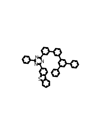 c1ccc(-c2cc(-c3ccccc3)cc(-c3cccc(-c4cccc(-c5nc(-c6ccccc6)nc(-c6ccc7c(c6)sc6ccccc67)n5)c4)c3)c2)cc1